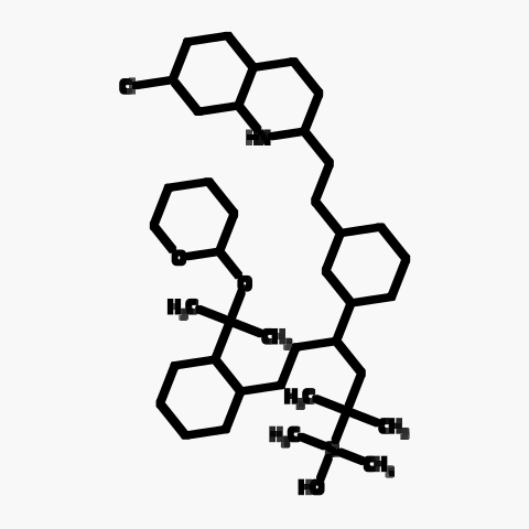 CC(C)(OC1CCCCO1)C1CCCCC1CCC(CC(C)(C)[Si](C)(C)O)C1CCCC(CCC2CCC3CCC(Cl)CC3N2)C1